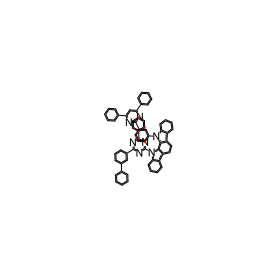 c1ccc(-c2cccc(-c3nc(-c4ccccc4)nc(-n4c5ccccc5c5ccc6c7ccccc7n(-c7cccc(-c8nc(-c9ccccc9)cc(-c9ccccc9)n8)c7)c6c54)n3)c2)cc1